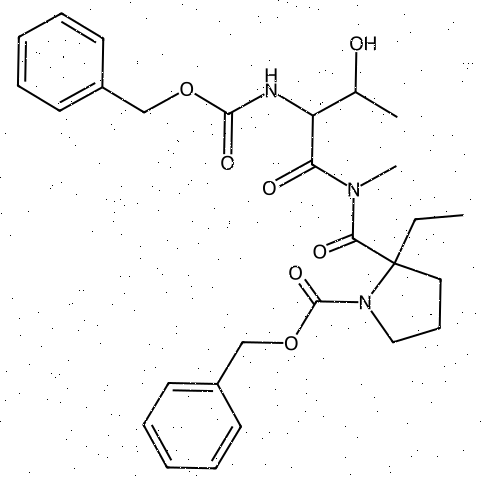 CCC1(C(=O)N(C)C(=O)C(NC(=O)OCc2ccccc2)C(C)O)CCCN1C(=O)OCc1ccccc1